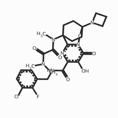 CN(C)C(=O)C(=O)N(C)C12CCC(N3CCC3)(CC1)Cn1c2nc(C(=O)NCc2cccc(Cl)c2F)c(O)c1=O